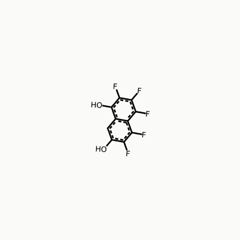 Oc1cc2c(O)c(F)c(F)c(F)c2c(F)c1F